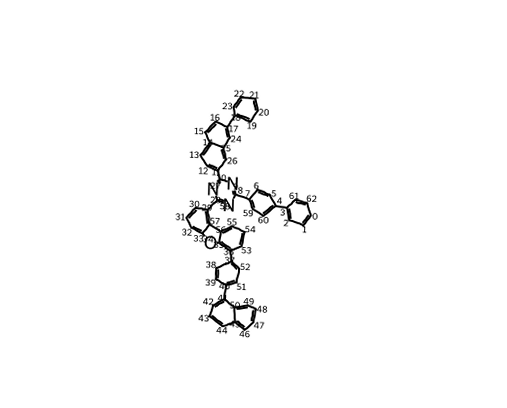 c1ccc(-c2ccc(-c3nc(-c4ccc5ccc(-c6ccccc6)cc5c4)nc(-c4cccc5oc6c(-c7ccc(-c8cccc9ccccc89)cc7)cccc6c45)n3)cc2)cc1